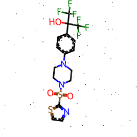 O=S(=O)(c1nccs1)N1CCN(c2ccc(C(O)(C(F)(F)F)C(F)(F)F)cc2)CC1